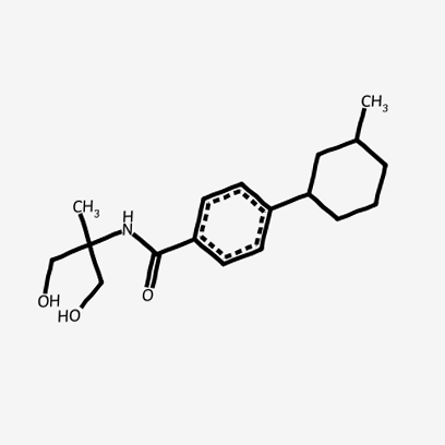 CC1CCCC(c2ccc(C(=O)NC(C)(CO)CO)cc2)C1